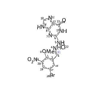 COc1c(/C=N/Nc2nc3[nH]cnc3c(=O)[nH]2)cc(Br)cc1[N+](=O)[O-].Cl